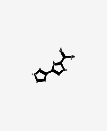 CC(C)C(=O)c1nc(-c2ccsc2)cs1